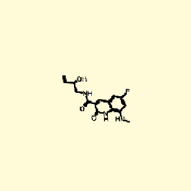 C=CC(O)CNC(=O)c1cc2cc(F)cc(NC)c2[nH]c1=O